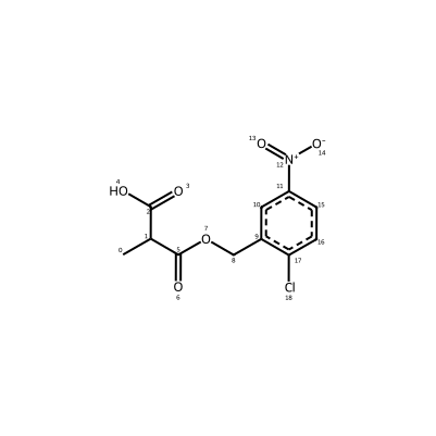 CC(C(=O)O)C(=O)OCc1cc([N+](=O)[O-])ccc1Cl